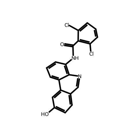 O=C(Nc1cccc2c1ncc1ccc(O)cc12)c1c(Cl)cccc1Cl